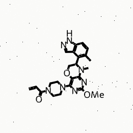 C=CC(=O)N1CCN(c2nc(OC)nc3c2OCC(c2c(C)ccc4[nH]ncc24)N3C)CC1